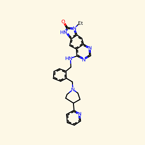 CCn1c(=O)[nH]c2cc3c(NCc4ccccc4CN4CCC(c5ccccn5)CC4)ncnc3cc21